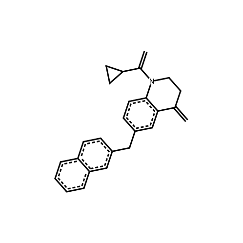 C=C1CCN(C(=C)C2CC2)c2ccc(Cc3ccc4ccccc4c3)cc21